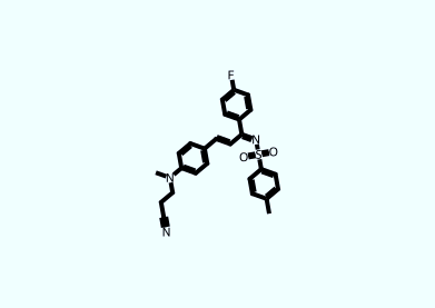 Cc1ccc(S(=O)(=O)/N=C(\C=C\c2ccc(N(C)CCC#N)cc2)c2ccc(F)cc2)cc1